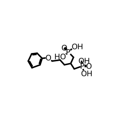 O=P(O)(O)CC(CCCOc1ccccc1)CP(=O)(O)O